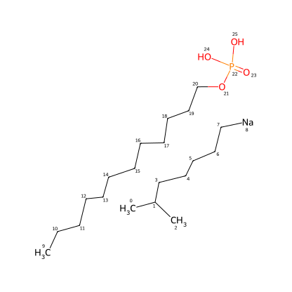 CC(C)CCCC[CH2][Na].CCCCCCCCCCCCOP(=O)(O)O